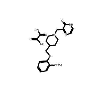 CC(=O)Nc1ccccc1OCC1CCN(Cc2ncc[nH]c2=O)CC1.O=C(O)C(=O)O